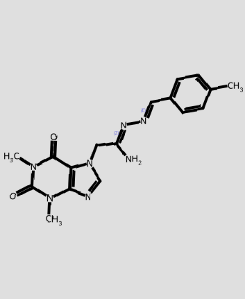 Cc1ccc(/C=N/N=C(\N)Cn2cnc3c2c(=O)n(C)c(=O)n3C)cc1